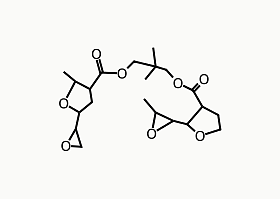 CC1OC(C2CO2)CC1C(=O)OCC(C)(C)COC(=O)C1CCOC1C1OC1C